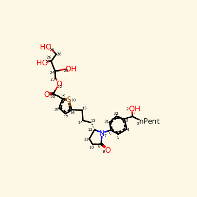 CCCCCC(O)c1ccc(N2C(=O)CC[C@@H]2CCCc2ccc(C(=O)OCC(O)C(O)CO)s2)cc1